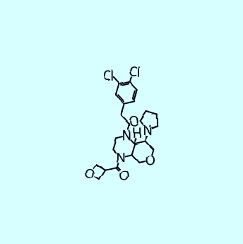 O=C(C1COC1)N1CCN(C(=O)Cc2ccc(Cl)c(Cl)c2)[C@H]2C1COC[C@@H]2N1CCCC1